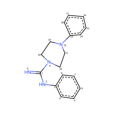 N=C(Nc1ccccc1)N1CCN(c2ccccc2)CC1